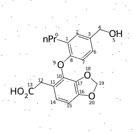 CCCc1cc(CO)ccc1Oc1c(CC(=O)O)ccc2c1OCO2